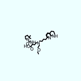 CCOCCN(CCCCc1ccc2c(n1)NCCC2)CCC(NC(=O)N1CCCC1(C)C)C(=O)O